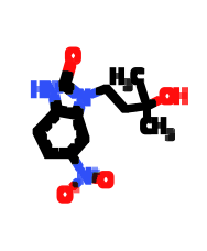 CC(C)(O)CCn1c(=O)[nH]c2ccc([N+](=O)[O-])cc21